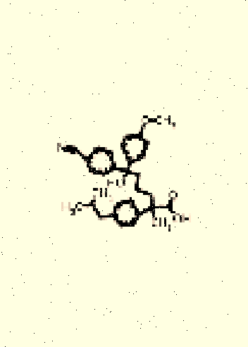 COc1ccc(C(O)(CCCC(C)(C(=O)O)c2ccc(CC(C)C)cc2)c2ccc(C#N)cc2)cc1